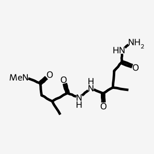 CNC(=O)CC(C)C(=O)NNC(=O)C(C)CC(=O)NN